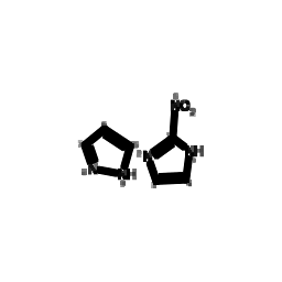 O=[N+]([O-])c1ncc[nH]1.c1cn[nH]c1